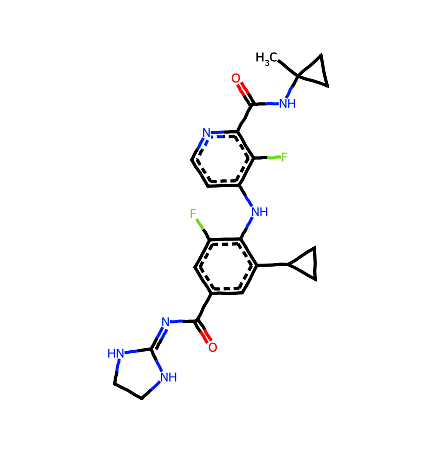 CC1(NC(=O)c2nccc(Nc3c(F)cc(C(=O)N=C4NCCN4)cc3C3CC3)c2F)CC1